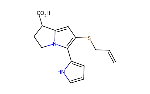 C=CCSc1cc2n(c1-c1ccc[nH]1)CCC2C(=O)O